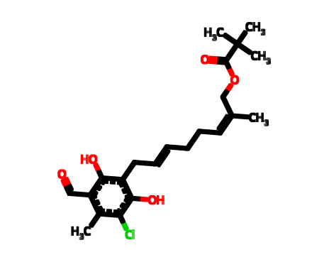 CC(=CCCC=CCc1c(O)c(Cl)c(C)c(C=O)c1O)COC(=O)C(C)(C)C